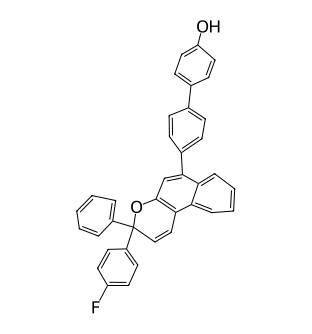 Oc1ccc(-c2ccc(-c3cc4c(c5ccccc35)C=CC(c3ccccc3)(c3ccc(F)cc3)O4)cc2)cc1